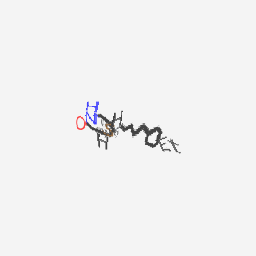 CCc1ccc(CCCCC[C@@H]2C[C@@H]3CC(=O)NC[C@H]2S3)cc1